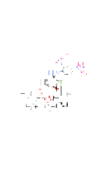 CC(C)[Si]1(C(C)C)OC[C@H]2C[C@@H](Nc3ccc([N+](=O)[O-])cc3[N+](=O)[O-])[C@H](F)[C@@H]2O[Si](C(C)C)(C(C)C)O1